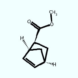 COC(=O)[C@H]1C[C@H]2C=C[C@@H]1C2